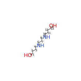 OCCCCNCCCNCCCCO